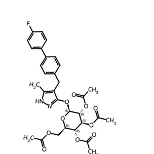 CC(=O)OC[C@H]1O[C@@H](Oc2n[nH]c(C)c2Cc2ccc(-c3ccc(F)cc3)cc2)[C@H](OC(C)=O)[C@@H](OC(C)=O)[C@@H]1OC(C)=O